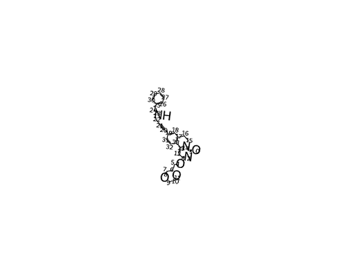 O=c1nc(OCC2COCCO2)cc2n1CCc1cc(C#CCNCc3ccccc3)ccc1-2